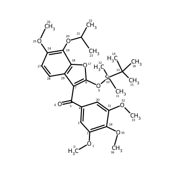 COc1cc(C(=O)c2c(O[Si](C)(C)C(C)(C)C)oc3c(OC(C)C)c(OC)ccc23)cc(OC)c1OC